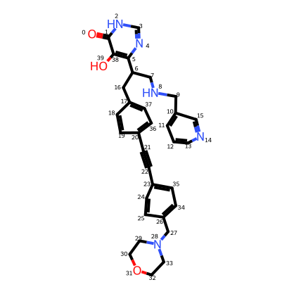 O=c1[nH]cnc(C(CNCc2cccnc2)Cc2ccc(C#Cc3ccc(CN4CCOCC4)cc3)cc2)c1O